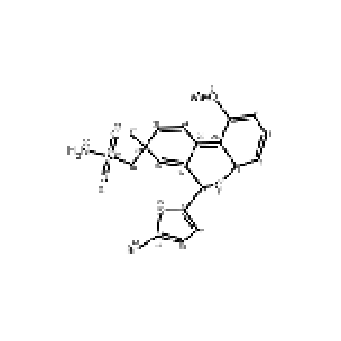 COC1=CC=CC2OC(c3ccc(Br)s3)C3=CC(C)(CS(N)(=O)=O)C=CC3=C12